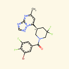 Cc1cc([C@@H]2CN(C(=O)c3cc(F)c(F)c(Br)c3)CC(F)(F)C2)n2ncnc2n1